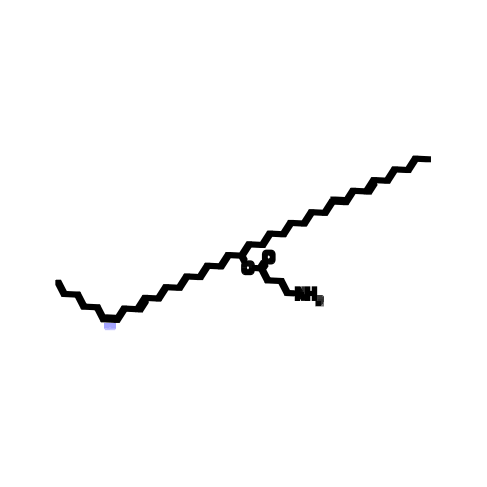 CCCCCC=CCC=CCCCCCCCCC(CCCCCCCCC=CC/C=C\CCCCC)OC(=O)CCCN